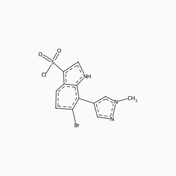 Cn1cc(-c2c(Br)ccc3c(S(=O)(=O)Cl)c[nH]c23)cn1